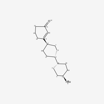 CCCC[C@H]1CC[C@H]([C@H]2CC[C@H](C3=CC(=O)CCC3)CC2)CC1